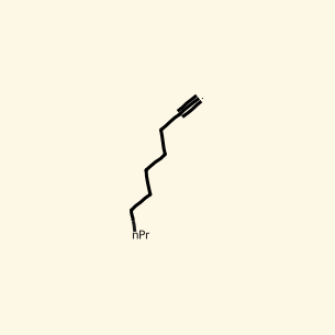 [C]#CCCCCCCC[CH2]